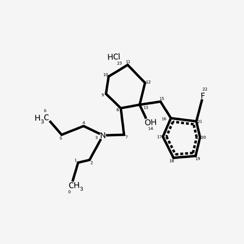 CCCN(CCC)CC1CCCCC1(O)Cc1ccccc1F.Cl